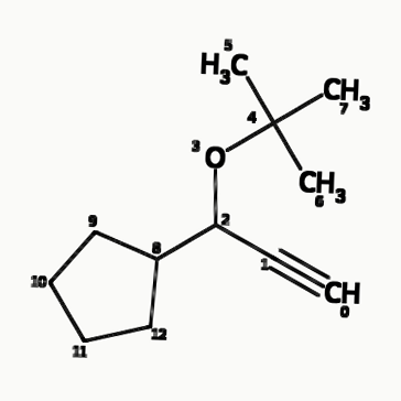 C#CC(OC(C)(C)C)C1CCCC1